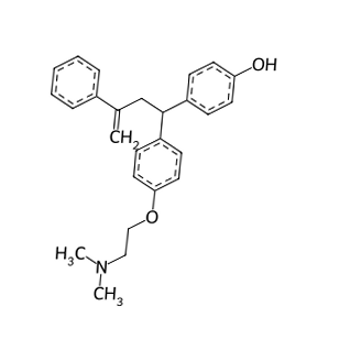 C=C(CC(c1ccc(O)cc1)c1ccc(OCCN(C)C)cc1)c1ccccc1